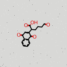 O=CCCCC(C(=O)O)C1=CC(=O)c2ccccc2C1=O